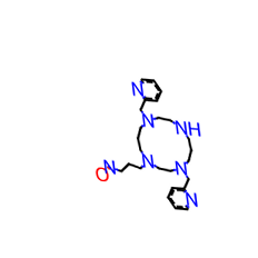 O=NCCCN1CCCN(Cc2ccccn2)CCNCCCN(Cc2ccccn2)CC1